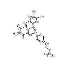 CCN(CC)CCOc1ccc(-c2nnc3c(n2)c(=O)n(C)c(=O)n3Cc2ccc(F)c(F)c2)cc1